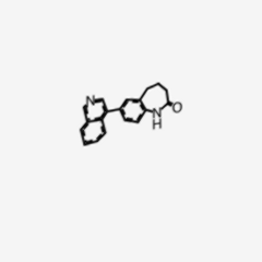 O=C1CCCc2cc(-c3cncc4ccccc34)ccc2N1